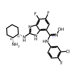 N[C@@H]1CCCC[C@@H]1Nc1nc2c(F)c(F)cc(/C(=N\O)Nc3ccc(F)c(Cl)c3)c2[nH]1